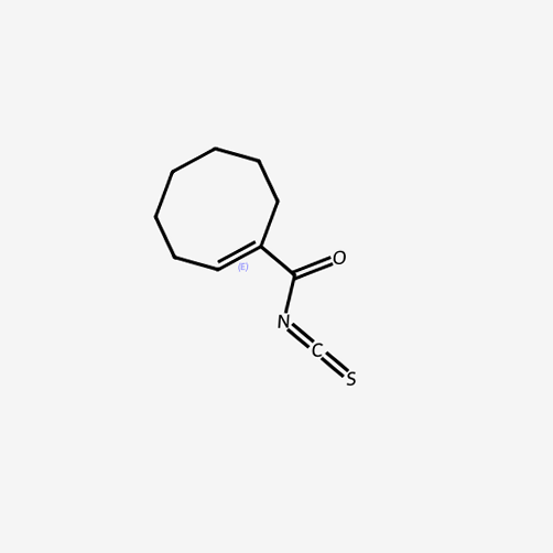 O=C(N=C=S)/C1=C/CCCCCC1